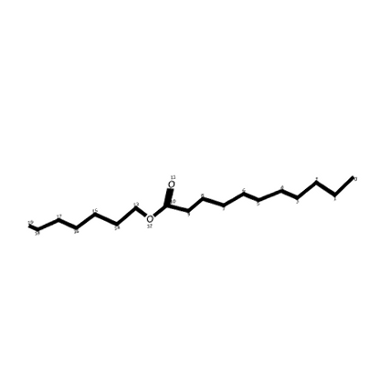 CCCCCCCCCCC(=O)OCCCCCCC